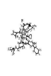 CCCC1(C)CC(C(C(=O)NC2CNC(C3CCCCC3)CC2N2CC(CCN(C)C)CN2)C(N)NC2CCC2)NCC(F)/C=C/1C